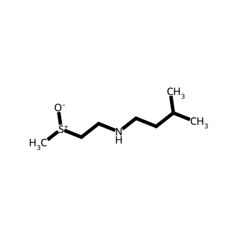 CC(C)CCNCC[S+](C)[O-]